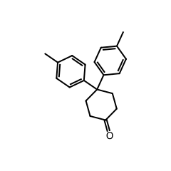 Cc1ccc(C2(c3ccc(C)cc3)CCC(=O)CC2)cc1